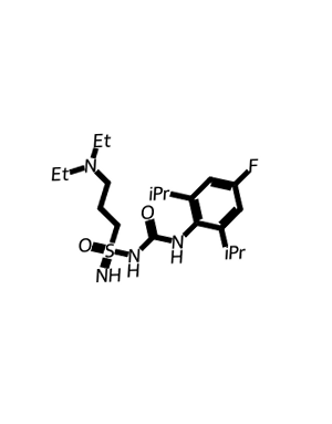 CCN(CC)CCCS(=N)(=O)NC(=O)Nc1c(C(C)C)cc(F)cc1C(C)C